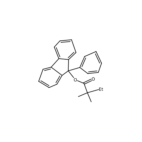 CCC(C)(C)C(=O)OC1(c2ccccc2)c2ccccc2-c2ccccc21